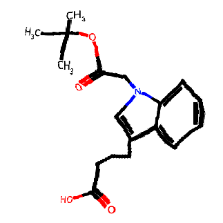 CC(C)(C)OC(=O)Cn1cc(CCC(=O)O)c2ccccc21